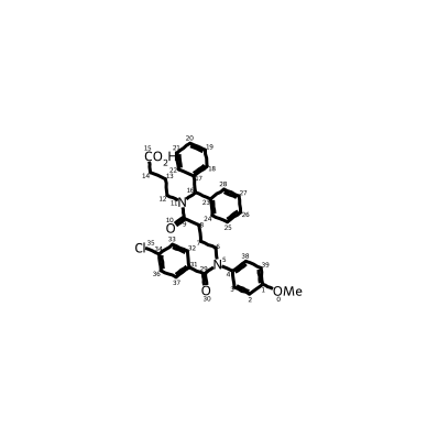 COc1ccc(N(CCCC(=O)N(CCCC(=O)O)C(c2ccccc2)c2ccccc2)C(=O)c2ccc(Cl)cc2)cc1